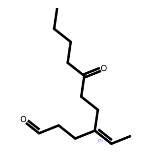 C/C=C(/CCC=O)CCC(=O)CCCC